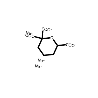 O=C([O-])C1CCCC(C(=O)[O-])(C(=O)[O-])O1.[Na+].[Na+].[Na+]